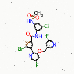 CS(=O)(=O)Nc1cc(Cl)cc(NC(=O)c2cc(-c3ncc(F)cc3OCc3cncc(F)c3)c(Br)s2)c1